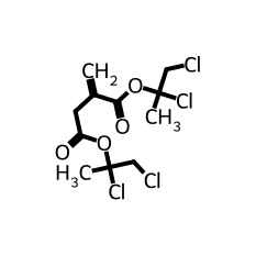 C=C(CC(=O)OC(C)(Cl)CCl)C(=O)OC(C)(Cl)CCl